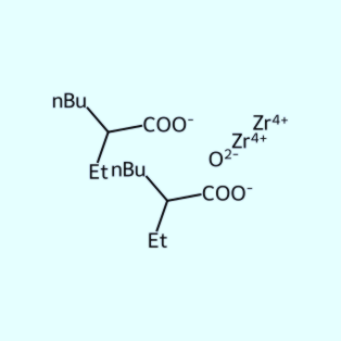 CCCCC(CC)C(=O)[O-].CCCCC(CC)C(=O)[O-].[O-2].[Zr+4].[Zr+4]